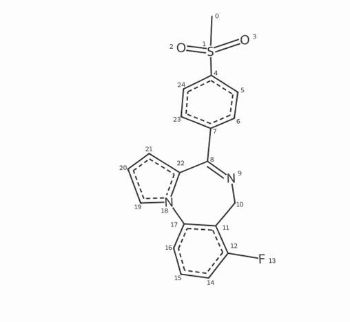 CS(=O)(=O)c1ccc(C2=NCc3c(F)cccc3-n3cccc32)cc1